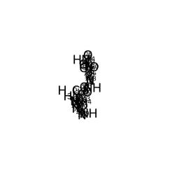 Cc1cc(S(=O)(=O)NCCN2Cc3cc4c(cc3C2)C(=O)N(C2CCC(=O)NC2=O)C4=O)ccc1Nc1nc2c(OC3CCC3)c(-c3cn[nH]c3)ncn2n1